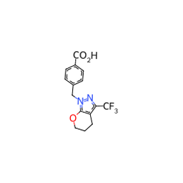 O=C(O)c1ccc(Cn2nc(C(F)(F)F)c3c2OCCC3)cc1